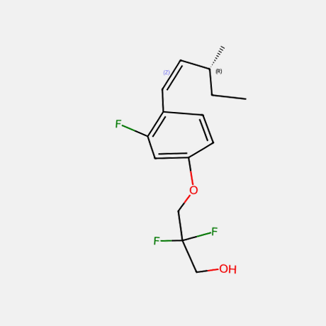 CC[C@@H](C)/C=C\c1ccc(OCC(F)(F)CO)cc1F